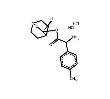 Cc1ccc(C(N)C(=O)O[C@H]2CN3CCC2CC3)cc1.Cl.Cl